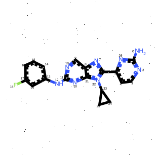 Nc1nccc(-c2nc3cnc(Nc4cccc(F)c4)nc3n2C2CC2)n1